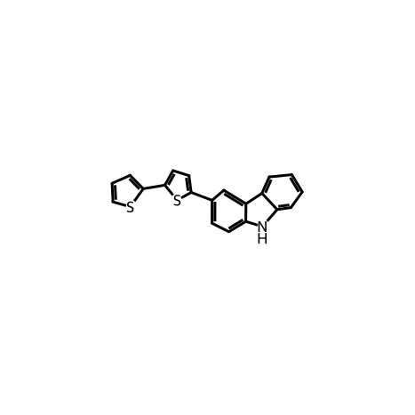 c1csc(-c2ccc(-c3ccc4[nH]c5ccccc5c4c3)s2)c1